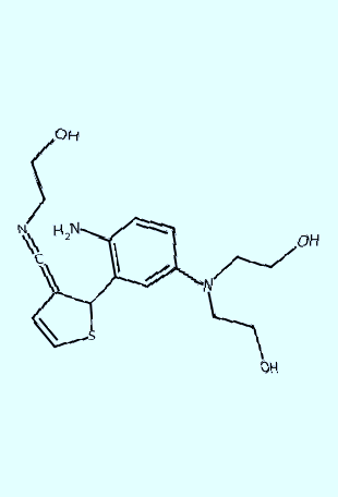 Nc1ccc(N(CCO)CCO)cc1C1SC=CC1=C=NCCO